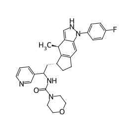 C[C@H]1C2=CNN(c3ccc(F)cc3)C2=CC2=C1[C@@H](CC(NC(=O)N1CCOCC1)c1cccnc1)CC2